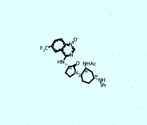 CC(=O)N[C@@H]1C[C@H](NC(C)C)CC[C@@H]1N1CC[C@H](Nc2nc[n+]([O-])c3ccc(C(F)(F)F)cc23)C1=O